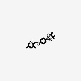 C=C1OB(c2ccc(OCc3ncc(C)cc3C)cc2)OC1(C)C